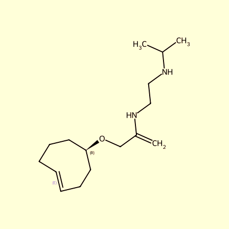 C=C(CO[C@H]1CC/C=C/CCC1)NCCNC(C)C